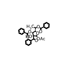 CC(=O)OC1O[C@H](C(C)OC(=O)c2ccccc2)[C@@H](OC(=O)c2ccccc2)[C@]1(O)C(=O)c1ccccc1